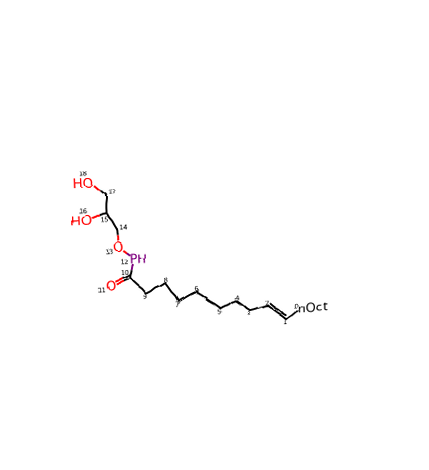 CCCCCCCCC=CCCCCCCCC(=O)POCC(O)CO